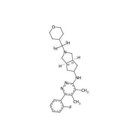 [2H]C([2H])(C1CCOCC1)N1C[C@H]2CC(Nc3nnc(-c4ccccc4F)c(C)c3C)C[C@H]2C1